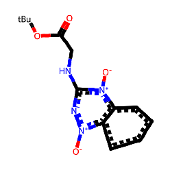 CC(C)(C)OC(=O)CNc1n[n+]([O-])c2ccccc2[n+]1[O-]